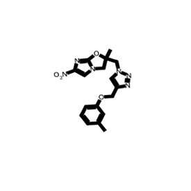 Cc1cccc(OCc2cn(CC3(C)Cn4cc([N+](=O)[O-])nc4O3)nn2)c1